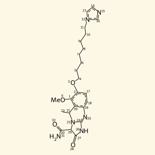 COc1c(OCCCCCCCCn2ccnc2)ccc2c1C(C)N1C(=N2)NC(=O)C1C(N)=O